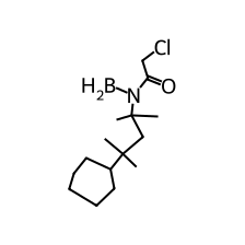 BN(C(=O)CCl)C(C)(C)CC(C)(C)C1CCCCC1